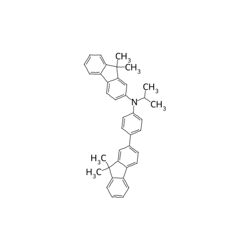 CC(C)N(c1ccc(-c2ccc3c(c2)C(C)(C)c2ccccc2-3)cc1)c1ccc2c(c1)C(C)(C)c1ccccc1-2